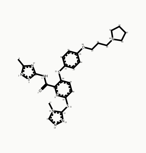 Cc1nsc(NC(=O)c2nc(Sc3nncn3C)ccc2Sc2ccc(OCCCN3CCCC3)cc2)n1